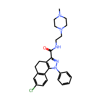 CN1CCN(CCNC(=O)c2nn(-c3ccccc3)c3c2CCc2cc(Cl)ccc2-3)CC1